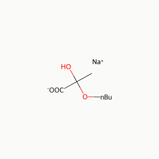 CCCCOC(C)(O)C(=O)[O-].[Na+]